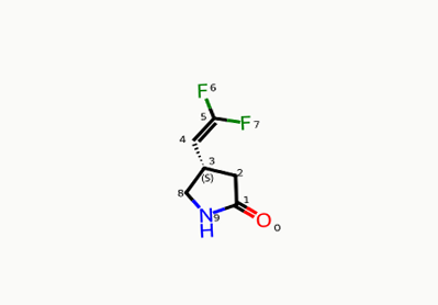 O=C1C[C@@H](C=C(F)F)CN1